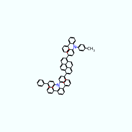 Cc1ccc(N(c2ccc(-c3ccc4ccc5c(-c6ccc(N(c7ccc(-c8ccccc8)cc7)c7c(-c8ccccc8)cccc7-c7ccccc7)cc6)ccc6ccc3c4c65)cc2)c2ccccc2-c2ccccc2)cc1